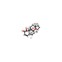 C[C@@]12CCC[C@H]1[C@@H]1C[C@H](F)C3C=CC(=O)C(=O)[C@]3(C)[C@@]1(O)CC2